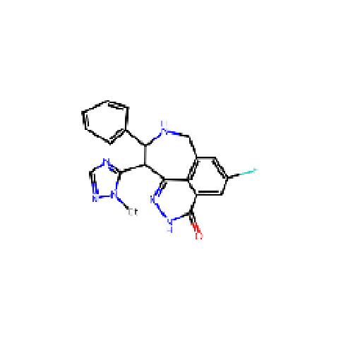 CCn1ncnc1C1c2n[nH]c(=O)c3cc(F)cc(c23)CNC1c1ccccc1